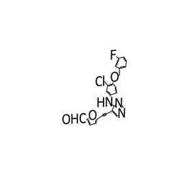 O=Cc1ccc(C#Cc2cncnc2Nc2ccc(OCc3cccc(F)c3)c(Cl)c2)o1